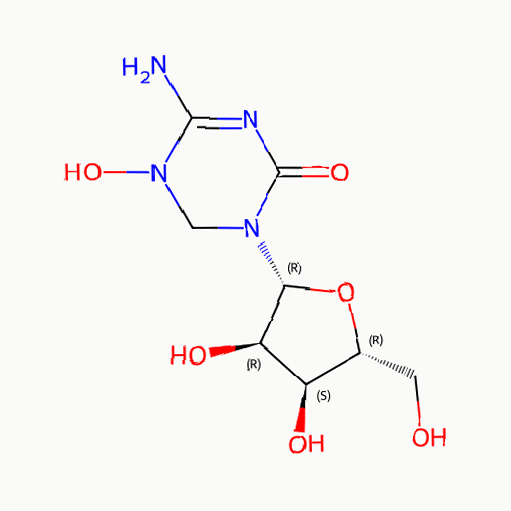 NC1=NC(=O)N([C@@H]2O[C@H](CO)[C@@H](O)[C@H]2O)CN1O